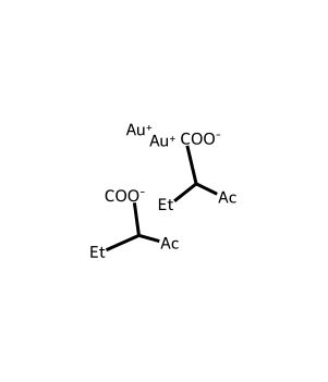 CCC(C(C)=O)C(=O)[O-].CCC(C(C)=O)C(=O)[O-].[Au+].[Au+]